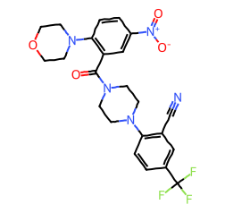 N#Cc1cc(C(F)(F)F)ccc1N1CCN(C(=O)c2cc([N+](=O)[O-])ccc2N2CCOCC2)CC1